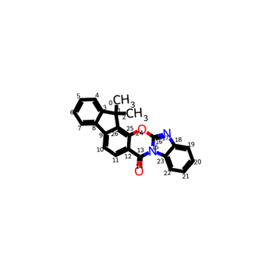 CC1(C)c2ccccc2-c2ccc3c(=O)n4c(nc5ccccc54)oc3c21